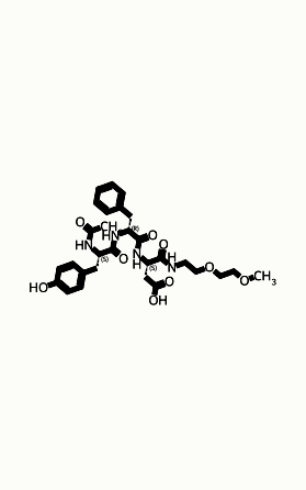 COCCOCCNC(=O)[C@H](CC(=O)O)NC(=O)[C@@H](Cc1ccccc1)NC(=O)[C@H](Cc1ccc(O)cc1)NC(C)=O